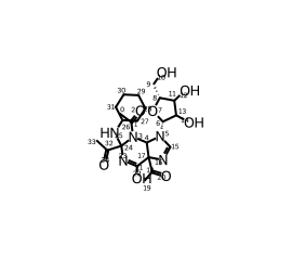 CC(=O)N1C2N([C@@H]3O[C@H](CO)C(O)C3O)C=NC2(C(C)=O)C(O)=NC1(NC1CCCCC1)C(C)=O